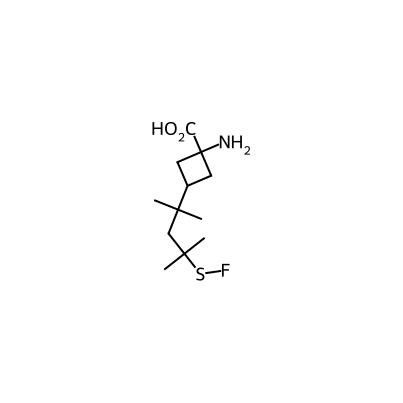 CC(C)(CC(C)(C)C1CC(N)(C(=O)O)C1)SF